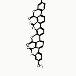 Cc1ccc2c(c1)oc(=O)c1c2ccc2c3ccc4c5ccc6c7ccc(C)cc7oc(=O)c6c5c(=O)oc4c3oc(=O)c21